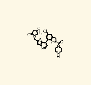 CC1CC(=O)N(Cc2cc3nccc(-c4cc(Cl)cc5c4O[C@@H](C(=O)N4CCNCC4)C5)c3s2)C1